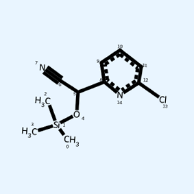 C[Si](C)(C)OC(C#N)c1cccc(Cl)n1